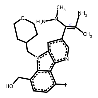 C/C(N)=C(\c1cnc2c3c(F)ccc(CO)c3n(CC3CCOCC3)c2c1)N(C)N